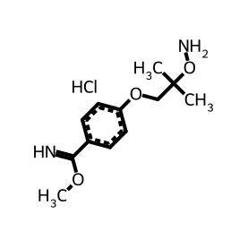 COC(=N)c1ccc(OCC(C)(C)ON)cc1.Cl